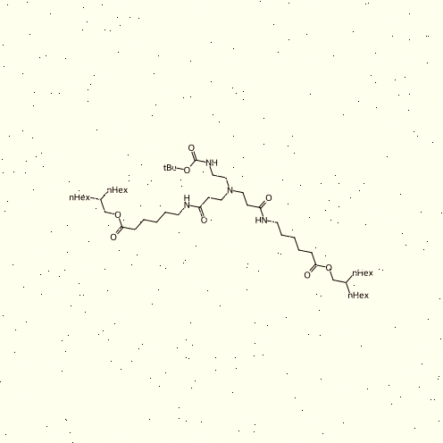 CCCCCCC(CCCCCC)COC(=O)CCCCCNC(=O)CCN(CCNC(=O)OC(C)(C)C)CCC(=O)NCCCCCC(=O)OCC(CCCCCC)CCCCCC